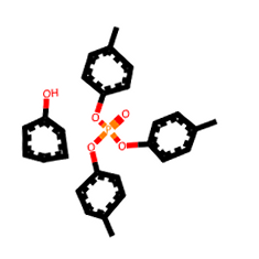 Cc1ccc(OP(=O)(Oc2ccc(C)cc2)Oc2ccc(C)cc2)cc1.Oc1ccccc1